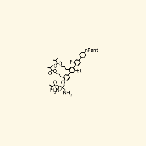 C=C(C)C(=O)OCCCc1cc(-c2cc(CC)c(-c3ccc(C4CCC(CCCCC)CC4)cc3F)cc2CCCOC(=O)C(=C)C)ccc1OCC(CN)(CN)COC(=O)C(=C)C